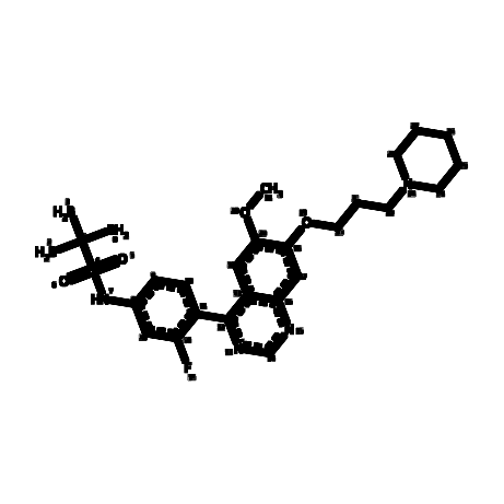 BC(B)(B)S(=O)(=O)Nc1ccc(-c2ncnc3cc(OCCCN4CCCCC4)c(OC)cc23)c(F)c1